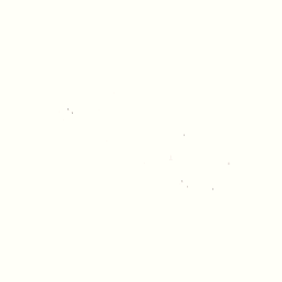 CC(CCCC1CC=CC=N1)[N+](=O)[O-]